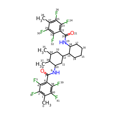 Cc1c(F)c(F)c(C(=O)NC2CC(C3CCCCC3NC(=O)c3c(F)c(F)c(C)c(F)c3F)CC(C)C2C)c(F)c1F